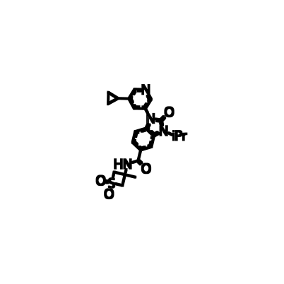 CC(C)n1c(=O)n(-c2cncc(C3CC3)c2)c2ccc(C(=O)NC3(C)CS(=O)(=O)C3)cc21